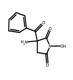 NC1(C(=O)c2ccccc2)CC(=O)N(O)C1=O